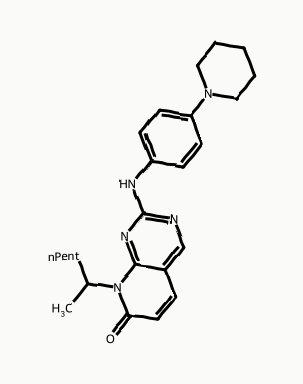 CCCCCC(C)n1c(=O)ccc2cnc(Nc3ccc(N4CCCCC4)cc3)nc21